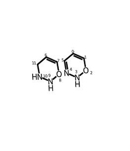 C1=CONN=C1.C1=CONNC1